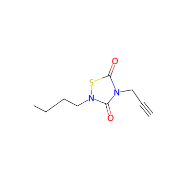 C#CCn1c(=O)sn(CCCC)c1=O